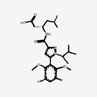 COc1c(F)cc(F)c(OC)c1-c1cc(C(=O)N[C@H](CC(=O)O)CC(C)C)nn1C(C)C(C)C